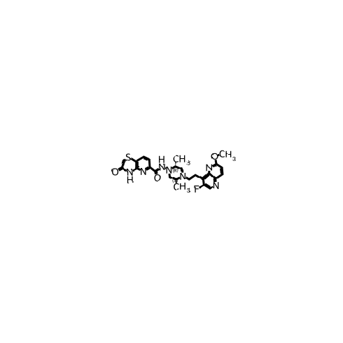 COc1ccc2ncc(F)c(CCN3C[C@@H](C)N(NC(=O)c4ccc5c(n4)NC(=O)CS5)C[C@@H]3C)c2n1